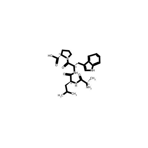 CC(C)C[C@H](NC(=O)[C@H](C)N)C(=O)N[C@@H](Cc1c[nH]c2ccccc12)C(=O)N1CCC[C@H]1C(=O)O